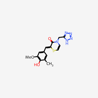 COc1cc(/C=C2\SC=CN(Cc3nnn[nH]3)C2=O)cc(C)c1O